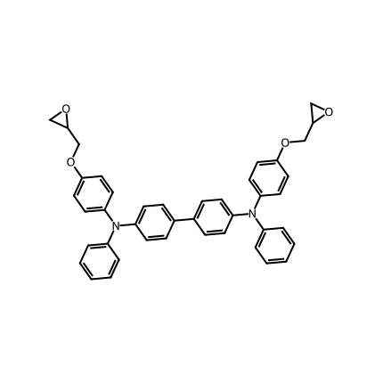 c1ccc(N(c2ccc(OCC3CO3)cc2)c2ccc(-c3ccc(N(c4ccccc4)c4ccc(OCC5CO5)cc4)cc3)cc2)cc1